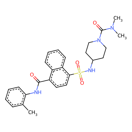 Cc1ccccc1NC(=O)c1ccc(S(=O)(=O)NC2CCN(C(=O)N(C)C)CC2)c2ccccc12